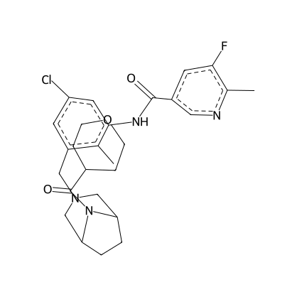 Cc1ncc(C(=O)Nc2cc(Cl)cc(CN3CC4CCC(C3)N4C(=O)C3CCOCC3)c2C)cc1F